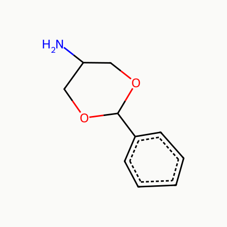 NC1COC(c2ccccc2)OC1